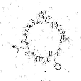 CC[C@@H]1NC(=O)[C@H](CCC(=O)O)NC(=O)CNC(=O)[C@H](C(C)C)NC(=O)[C@H](Cc2c[nH]cn2)NC(=O)[C@H](C2CC2)NC(=O)[C@H]2CCCN2C(=O)[C@@H](NC(C)(C)C)CCCNC(=O)[C@H](CCc2ccccc2)NC(=O)[C@H](C2CC2)NC1=O